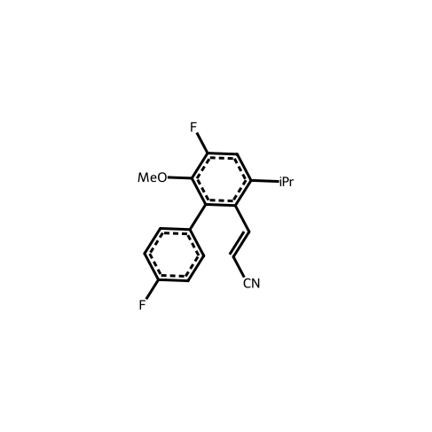 COc1c(F)cc(C(C)C)c(C=CC#N)c1-c1ccc(F)cc1